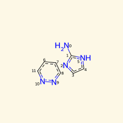 Nc1ncc[nH]1.c1ccnnc1